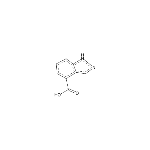 O=S(O)c1cccc2[nH]ncc12